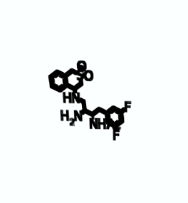 CC(=O)N[C@@H](Cc1cc(F)cc(F)c1)C(N)CNC1CS(=O)(=O)Cc2ccccc21